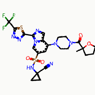 CC1(C(=O)N2CCN(c3cc(S(=O)(=O)NC4(C#N)CC4)cn4c(-c5nnc(C(F)(F)F)s5)ncc34)CC2)CCCO1